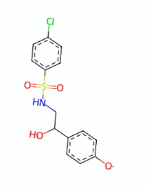 [O]c1ccc(C(O)CNS(=O)(=O)c2ccc(Cl)cc2)cc1